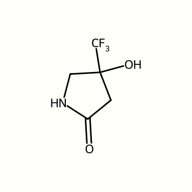 O=C1CC(O)(C(F)(F)F)CN1